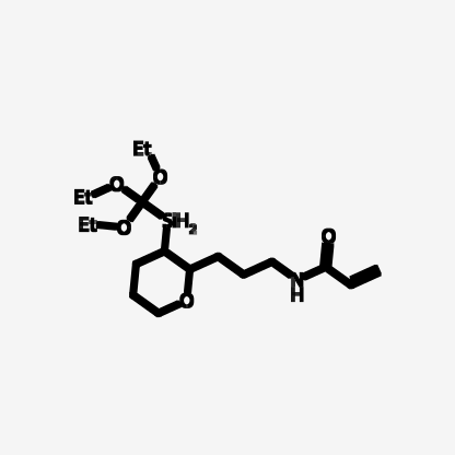 C=CC(=O)NCCCC1OCCCC1[SiH2]C(OCC)(OCC)OCC